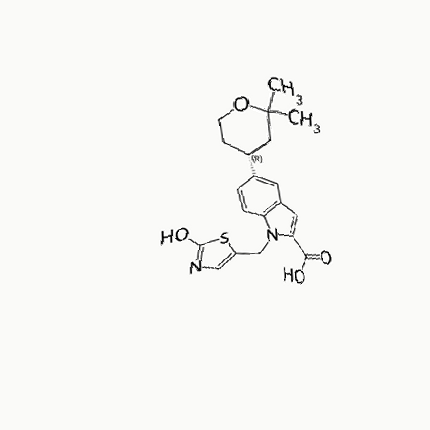 CC1(C)C[C@H](c2ccc3c(c2)cc(C(=O)O)n3Cc2cnc(O)s2)CCO1